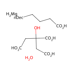 CCCCCCCCCCCCCC(=O)O.O.O=C(O)CC(O)(CC(=O)O)C(=O)O.[MgH2]